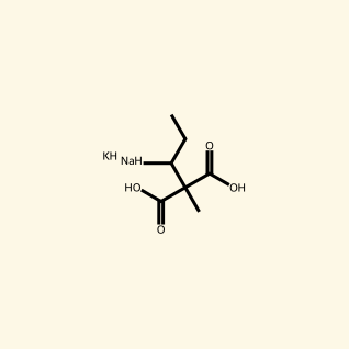 CCC(C)C(C)(C(=O)O)C(=O)O.[KH].[NaH]